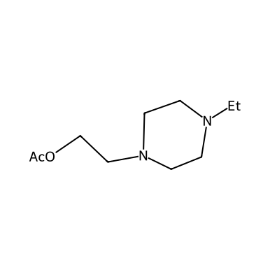 CCN1CCN(CCOC(C)=O)CC1